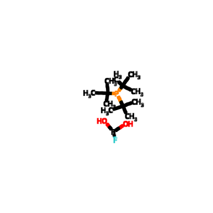 CC(C)(C)P(C(C)(C)C)C(C)(C)C.OB(O)F